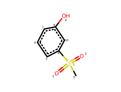 CS(=O)(=O)c1cccc(O)c1